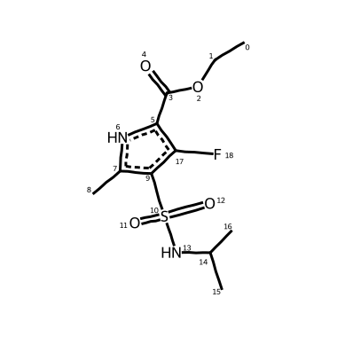 CCOC(=O)c1[nH]c(C)c(S(=O)(=O)NC(C)C)c1F